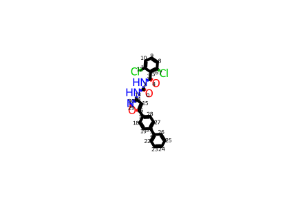 O=C(NC(=O)c1c(Cl)cccc1Cl)Nc1cc(-c2ccc(-c3ccccc3)cc2)on1